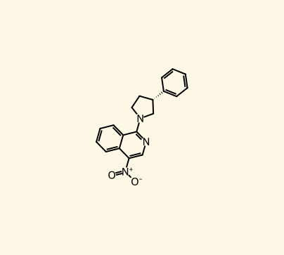 O=[N+]([O-])c1cnc(N2CC[C@H](c3ccccc3)C2)c2ccccc12